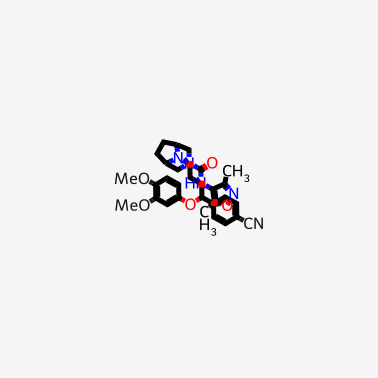 COc1ccc(OC(CCCN2C3CCC2CN(C(=O)Nc2c(C)noc2C)C3)c2ccc(C#N)cc2)cc1OC